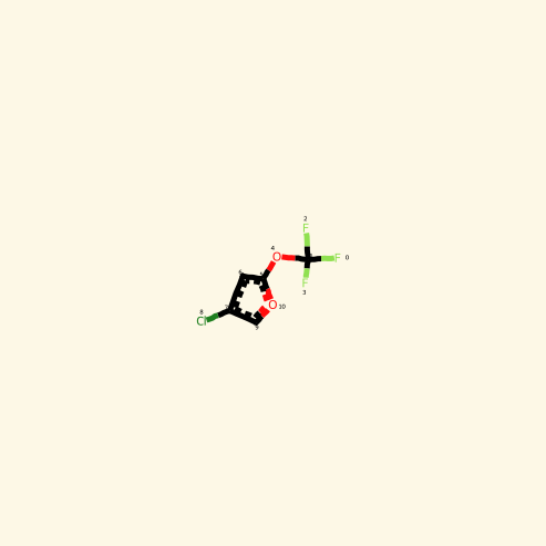 FC(F)(F)Oc1[c]c(Cl)co1